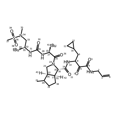 C=CCNC(=O)C(=O)C(CC1CC1)NC(=O)[C@@H]1[C@H]2CCC(C)[C@H]2CN1C(=O)[C@@H](NC(=O)N[C@H](CN(C)S(C)(=O)=O)C(C)(C)C)C(C)(C)C